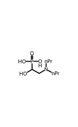 [CH2]CCN(CCC)CC(O)P(=O)(O)O